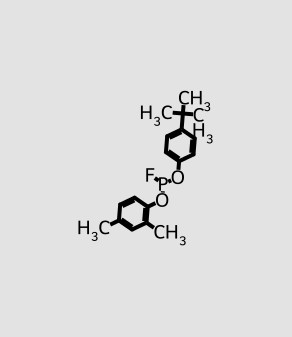 Cc1ccc(OP(F)Oc2ccc(C(C)(C)C)cc2)c(C)c1